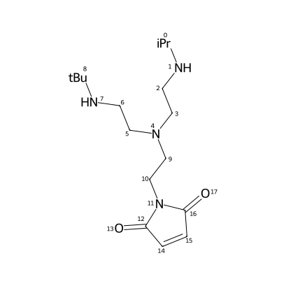 CC(C)NCCN(CCNC(C)(C)C)CCN1C(=O)C=CC1=O